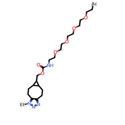 CCn1nnc2c1CCC1C(CC2)C1COC(=O)NCCOCCOCCOCCOCCC(C)=O